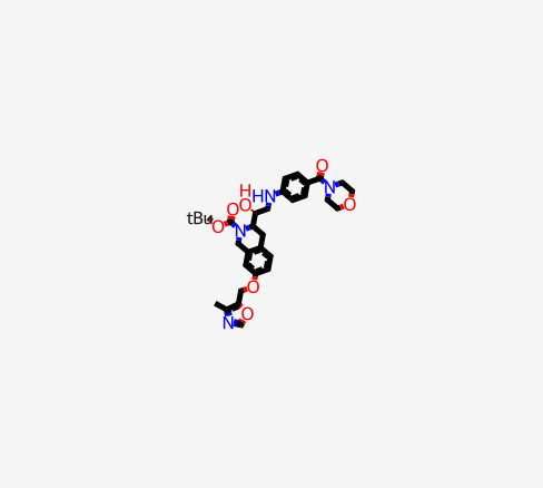 Cc1ncoc1COc1ccc2c(c1)CN(C(=O)OC(C)(C)C)C([C@H](O)CNc1ccc(C(=O)N3CCOCC3)cc1)C2